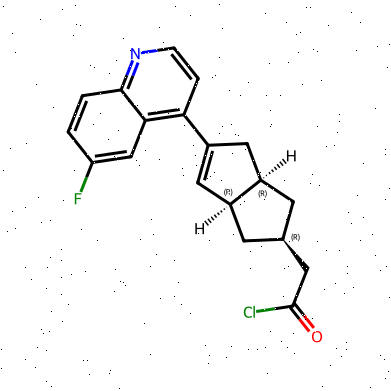 O=C(Cl)C[C@@H]1C[C@@H]2CC(c3ccnc4ccc(F)cc34)=C[C@@H]2C1